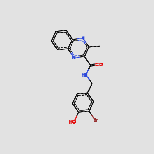 Cc1nc2ccccc2nc1C(=O)NCc1ccc(O)c(Br)c1